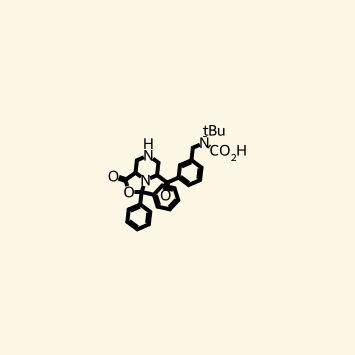 CC(C)(C)N(Cc1cccc(C(=O)C2CNCC3C(=O)OC(c4ccccc4)(c4ccccc4)N32)c1)C(=O)O